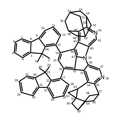 CC1(C)c2ccccc2-c2cccc(-c3cc(-c4cccc5c4C(C)(C)c4ccccc4-5)c4c5c6c(ncc5n5c7cnc8c(c7c3c45)C3CC4CC(CC8C4)C3)C3CC4CC5(CC65)C4C3)c21